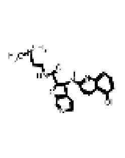 CN(C)CCNC(=O)c1oc2cnccc2c1Nc1ccc2c(O)cccc2n1